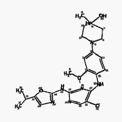 COc1cc(N2CC[PH](C)(O)CC2)ccc1Nc1nc(Nc2ncc(C(C)C)o2)ncc1Cl